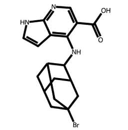 O=C(O)c1cnc2[nH]ccc2c1NC1C2CC3CC1CC(Br)(C3)C2